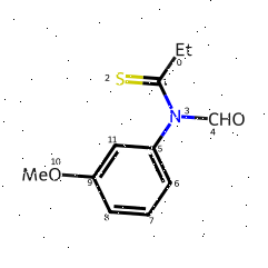 CCC(=S)N(C=O)c1cccc(OC)c1